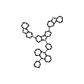 c1ccc(-c2c3ccccc3c(-c3cccc(-n4c5ccc(-c6ccc7oc8ccccc8c7c6)cc5c5cc(-c6ccc7sc8ccccc8c7c6)ccc54)c3)c3ccccc23)cc1